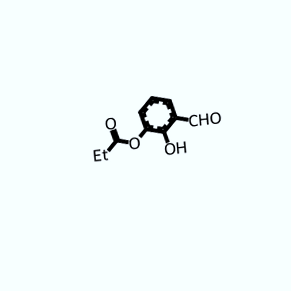 CCC(=O)Oc1cccc(C=O)c1O